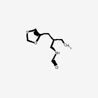 CCC(CNC=O)CC1=COCO1